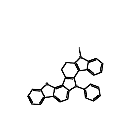 In1c2c(c3ccccc31)-c1c(c3c4oc5ccccc5c4ccc3n1-c1ccccc1)CC2